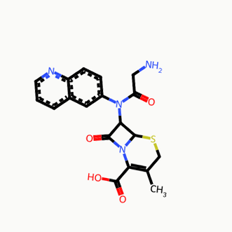 CC1=C(C(=O)O)N2C(=O)C(N(C(=O)CN)c3ccc4ncccc4c3)C2SC1